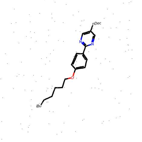 CCCCCCCCCCc1cnc(-c2ccc(OCCCCCC(C)CC)cc2)nc1